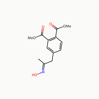 COC(=O)c1ccc(C/C(C)=N/O)cc1C(=O)OC